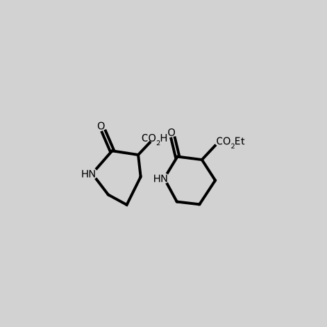 CCOC(=O)C1CCCNC1=O.O=C(O)C1CCCNC1=O